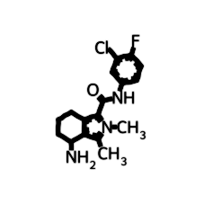 Cc1c2c(c(C(=O)Nc3ccc(F)c(Cl)c3)n1C)CCCC2N